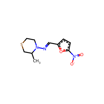 CC1CSCCN1N=Cc1ccc([N+](=O)[O-])o1